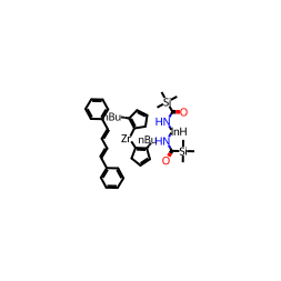 C(C=Cc1ccccc1)=Cc1ccccc1.CCCCC1=[C]([Zr][C]2=C(CCCC)C=CC2)CC=C1.C[Si](C)(C)C(=O)[NH][InH][NH]C(=O)[Si](C)(C)C